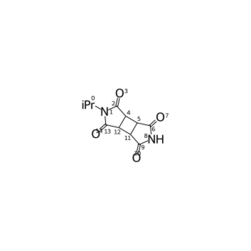 CC(C)N1C(=O)C2C3C(=O)NC(=O)C3C2C1=O